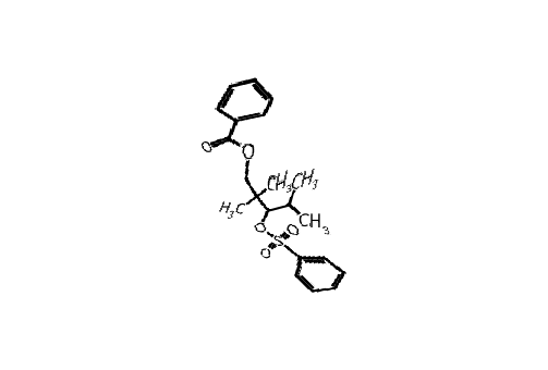 CC(C)C(OS(=O)(=O)c1ccccc1)C(C)(C)COC(=O)c1ccccc1